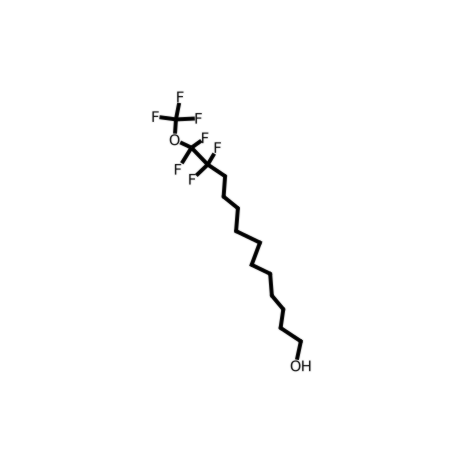 OCCCCCCCCCCCC(F)(F)C(F)(F)OC(F)(F)F